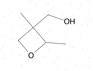 CC1OCC1(C)CO